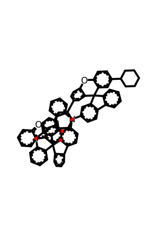 c1ccc2c(c1)Sc1ccccc1C21c2ccccc2-c2ccc(N(c3ccc4c(c3)C3(c5cc(C6CCCCC6)ccc5Oc5ccc(C6CCCCC6)cc53)c3ccccc3-4)c3ccccc3-c3cccc4c3oc3ccccc34)cc21